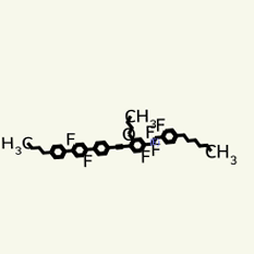 CCCCCCc1ccc(/C(F)=C(\F)c2cc(OCCC)c(C#Cc3ccc(-c4cc(F)c(-c5ccc(CCCC)cc5)cc4F)cc3)cc2F)c(F)c1